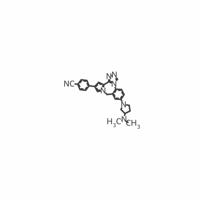 CN(C)C1CCN(c2ccc3c(c2)Cn2cc(-c4ccc(C#N)cc4)cc2-c2nncn2-3)C1